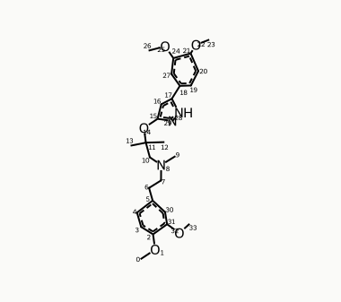 COc1ccc(CCN(C)CC(C)(C)Oc2cc(-c3ccc(OC)c(OC)c3)[nH]n2)cc1OC